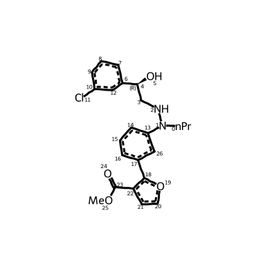 CCCN(NC[C@H](O)c1cccc(Cl)c1)c1cccc(-c2occc2C(=O)OC)c1